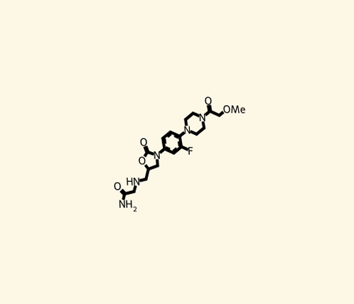 COCC(=O)N1CCN(c2ccc(N3CC(CNCC(N)=O)OC3=O)cc2F)CC1